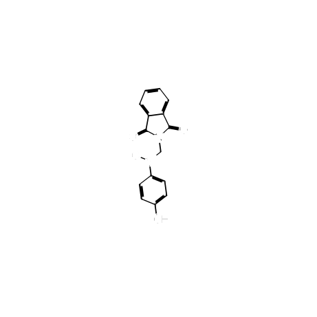 Cc1ccc([S+]([O-])CN2C(=O)c3ccccc3C2=O)cc1